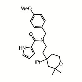 COc1ccc(CN(CCC2(C(C)C)CCOC(C)(C)C2)C(=O)c2ccc[nH]2)cc1